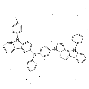 Cc1ccc(-n2c3ccccc3c3cc(N(c4ccccc4)c4ccc(-n5ccc6c5ccc5c7ccccc7n(-c7ccccc7)c56)cc4)ccc32)cc1